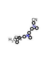 CC1(C)c2ccccc2-c2cc(-c3ccc(-n4c5ccccc5c5cc(-c6ccc7c(c6)c6ccccc6n7-c6ccc(C#N)cc6)ccc54)cc3)ccc21